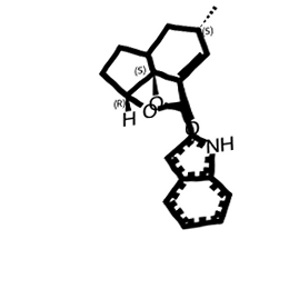 C[C@@H]1C=C2C(=O)O[C@@H]3CCC(C1)[C@]23OCc1cc2ccccc2[nH]1